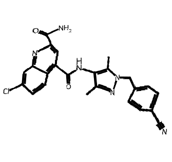 Cc1nn(Cc2ccc(C#N)cc2)c(C)c1NC(=O)c1cc(C(N)=O)nc2cc(Cl)ccc12